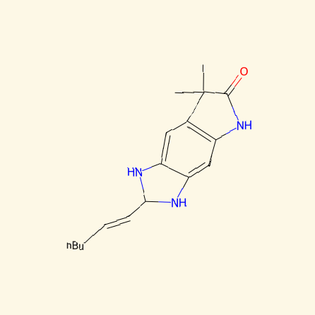 CCCCC=CC1Nc2cc3c(cc2N1)C(C)(C)C(=O)N3